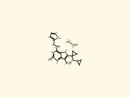 Cc1c(C2([C@@H](N)C3CC3)CC2)sc2c(NCc3ccco3)nc(Cl)nc12.O=CO